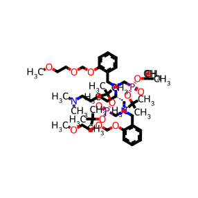 COCCOCOc1ccccc1CN(C[C@H](CCCCN(C)C)N(Cc1ccccc1OCOCCOC)CP(=O)(OC(C)(C)C)OC(C)(C)C)CP(=O)(OC(C)(C)C)OC(C)(C)C